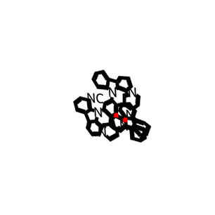 N#Cc1c(-n2c3ccccc3c3ccccc32)c(-c2cnccc2-n2c3ccccc3c3ccccc32)cc(-c2cnccc2-n2c3ccccc3c3ccccc32)c1-n1c2ccccc2c2ccccc21